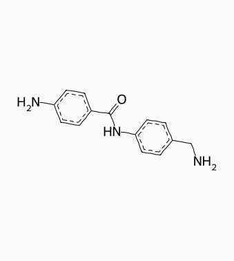 NCc1ccc(NC(=O)c2ccc(N)cc2)cc1